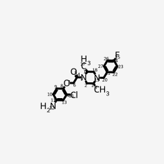 CC1CN(C(=O)COc2ccc(N)cc2Cl)C(C)CN1Cc1ccc(F)cc1